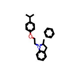 CC(C)c1ccc(OCCN2c3ccccc3CC2C)cc1.c1ccccc1